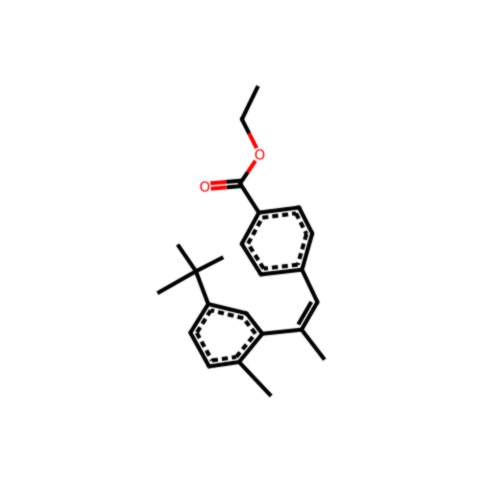 CCOC(=O)c1ccc(C=C(C)c2cc(C(C)(C)C)ccc2C)cc1